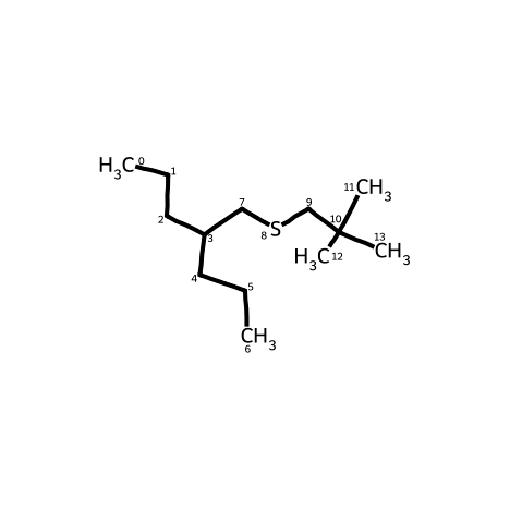 CCCC(CCC)CSCC(C)(C)C